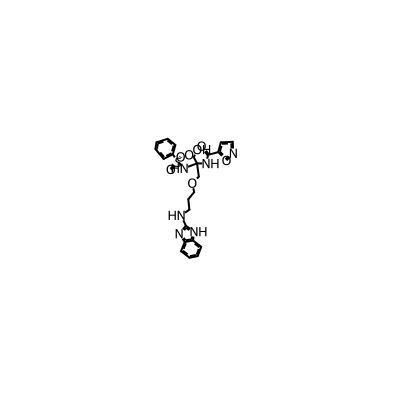 O=C(NC(COCCCNc1nc2ccccc2[nH]1)(NS(=O)(=O)c1ccccc1)C(=O)O)c1ccno1